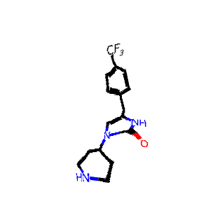 O=c1[nH]c(-c2ccc(C(F)(F)F)cc2)cn1C1CCNCC1